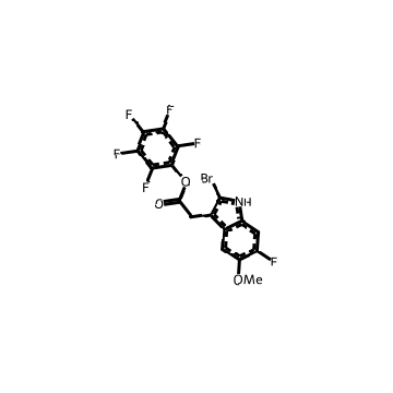 COc1cc2c(CC(=O)Oc3c(F)c(F)c(F)c(F)c3F)c(Br)[nH]c2cc1F